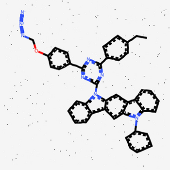 CCc1ccc(-c2nc(-c3ccc(OCN=[N+]=[N-])cc3)nc(-n3c4ccccc4c4cc5c(cc43)c3ccccc3n5-c3ccccc3)n2)cc1